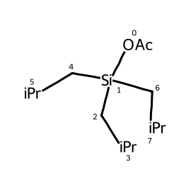 [CH2]C(=O)O[Si](CC(C)C)(CC(C)C)CC(C)C